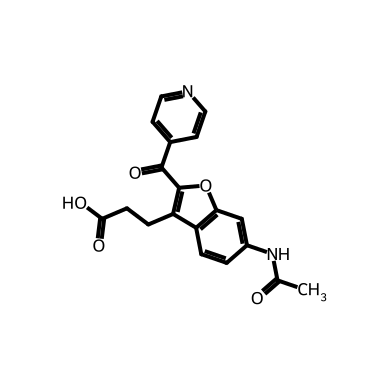 CC(=O)Nc1ccc2c(CCC(=O)O)c(C(=O)c3ccncc3)oc2c1